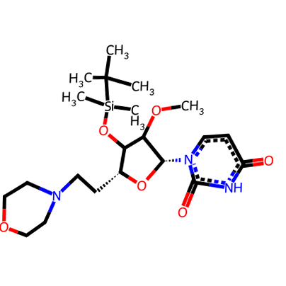 COC1C(O[Si](C)(C)C(C)(C)C)[C@@H](CCN2CCOCC2)O[C@H]1n1ccc(=O)[nH]c1=O